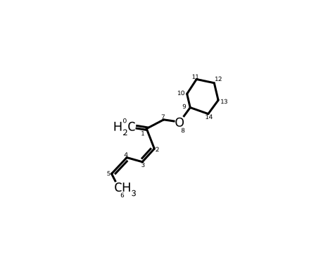 C=C(/C=C\C=C/C)COC1CCCCC1